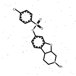 CC(C)N1CCC2c3ccc(OS(=O)(=O)c4ccc(Cl)cc4)cc3OC2C1